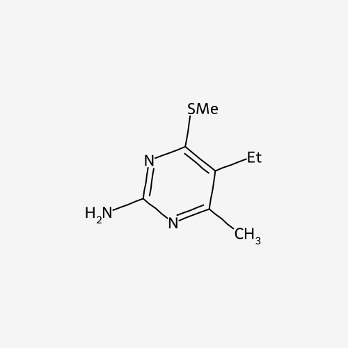 CCc1c(C)nc(N)nc1SC